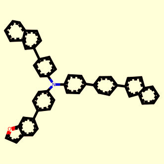 c1ccc2cc(-c3ccc(-c4ccc(N(c5ccc(-c6ccc7ccccc7c6)cc5)c5ccc(-c6ccc7ccoc7c6)cc5)cc4)cc3)ccc2c1